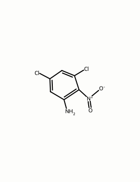 Nc1cc(Cl)cc(Cl)c1[N+](=O)[O-]